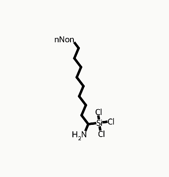 CCCCCCCCCCCCCCCCCC(N)[Si](Cl)(Cl)Cl